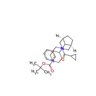 CC(C)(C)OC(=O)N1CCC(N2C[C@H]3CC[C@@H](C2)C3N(Cc2ccccc2)C(=O)C2CC2)CC1